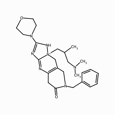 CC(CN(C)C)C[N+]12CC3=C(CC(=O)N(Cc4ccccc4)C3)N=C1N=C(N1CCOCC1)N2